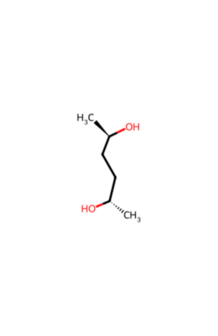 C[C@H](O)CC[C@@H](C)O